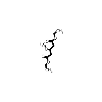 CCOC(=O)CC(CC(=O)OCC)OC